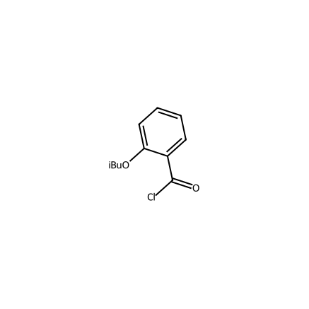 CC(C)COc1ccccc1C(=O)Cl